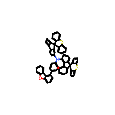 c1ccc2c(c1)Sc1ccccc1C21c2ccccc2-c2ccc(N(c3ccc(-c4cccc5oc6ccccc6c45)cc3)c3cccc4c3-c3ccccc3C43c4ccccc4Sc4ccccc43)cc21